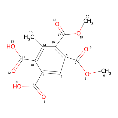 COC(=O)c1cc(C(=O)O)c(C(=O)O)c(C)c1C(=O)OC